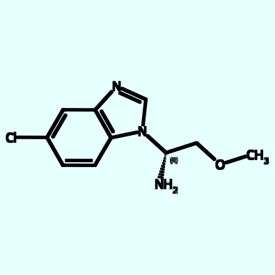 COC[C@H](N)n1cnc2cc(Cl)ccc21